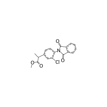 COC(=O)C(C)c1ccc(N2C(=O)c3ccccc3C2=O)c(Cl)c1